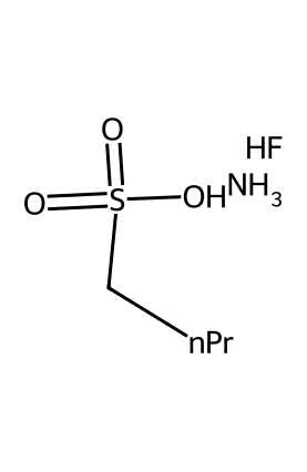 CCCCS(=O)(=O)O.F.N